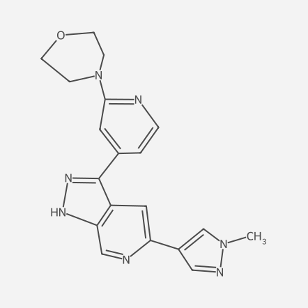 Cn1cc(-c2cc3c(-c4ccnc(N5CCOCC5)c4)n[nH]c3cn2)cn1